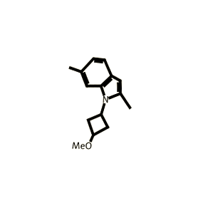 COC1CC(n2c(C)cc3ccc(C)cc32)C1